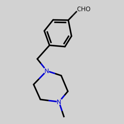 CN1CCN(Cc2ccc(C=O)cc2)CC1